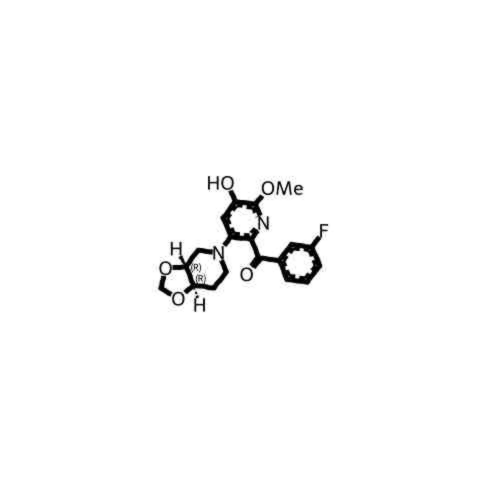 COc1nc(C(=O)c2cccc(F)c2)c(N2CC[C@H]3OCO[C@@H]3C2)cc1O